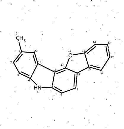 Cc1ccc2[nH]c3ccc4c5ccccc5oc4c3c2c1